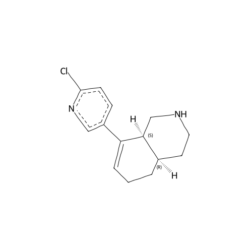 Clc1ccc(C2=CCC[C@@H]3CCNC[C@H]23)cn1